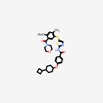 COc1cc(C)c(Sc2cnc(NC(=O)c3ccc(OC4CCC(C5CCC5)CC4)cc3)s2)cc1C(=O)N1CCOCC1